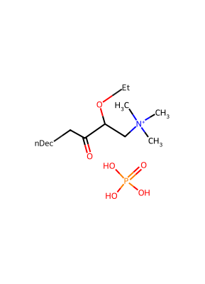 CCCCCCCCCCCC(=O)C(C[N+](C)(C)C)OCC.O=P(O)(O)O